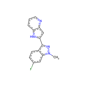 Cn1nc(-c2cc3ncccc3[nH]2)c2ccc(F)cc21